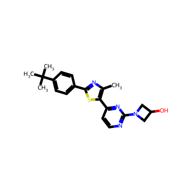 Cc1nc(-c2ccc(C(C)(C)C)cc2)sc1-c1ccnc(N2CC(O)C2)n1